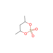 CC1CC(C)OS(=O)(=O)O1